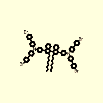 CCCCCCCCc1cc(-c2ccc(N(c3ccc(-c4ccc(Br)cc4)cc3)c3ccc(-c4ccc(Br)cc4)cc3)cc2)c2ccccc2c1-c1c(CCCCCCCC)cc(-c2ccc(N(c3ccc(-c4ccc(Br)cc4)cc3)c3ccc(-c4ccc(Br)cc4)cc3)cc2)c2ccccc12